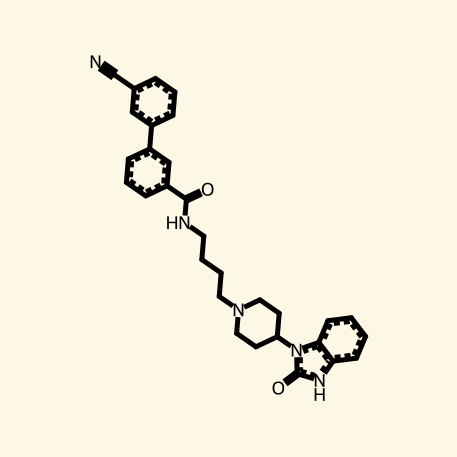 N#Cc1cccc(-c2cccc(C(=O)NCCCCN3CCC(n4c(=O)[nH]c5ccccc54)CC3)c2)c1